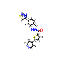 O=C(NCc1ccc(-c2csnn2)cc1)c1ccc(-c2ccncc2)s1